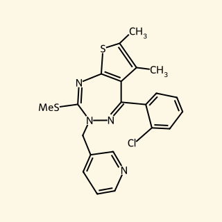 CSC1=Nc2sc(C)c(C)c2C(c2ccccc2Cl)=NN1Cc1cccnc1